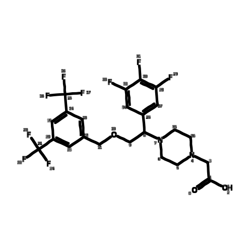 O=C(O)CN1CCN(C(COCc2cc(C(F)(F)F)cc(C(F)(F)F)c2)c2cc(F)c(F)c(F)c2)CC1